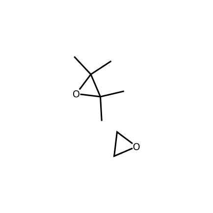 C1CO1.CC1(C)OC1(C)C